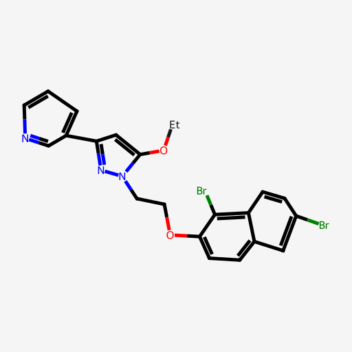 CCOc1cc(-c2cccnc2)nn1CCOc1ccc2cc(Br)ccc2c1Br